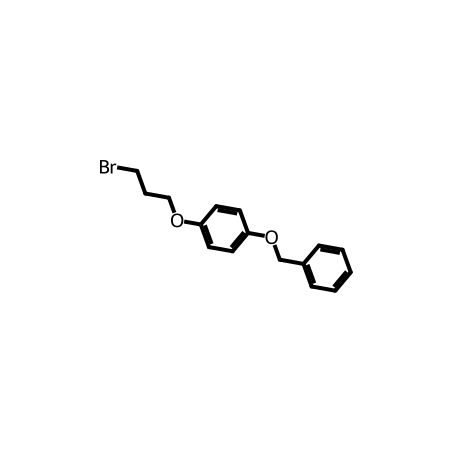 BrCCCOc1ccc(OCc2ccccc2)cc1